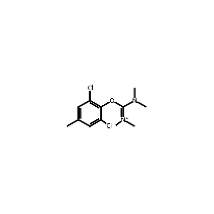 Cc1cc(Cl)c(OC(N(C)C)=[N+](C)C)c(Cl)c1